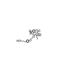 CCCC1=C(C(=O)OCCCOc2ccc(CCCCO)cc2)C(c2cccc([N+](=O)[O-])c2)C(C(=O)OC)=C(CC)N1